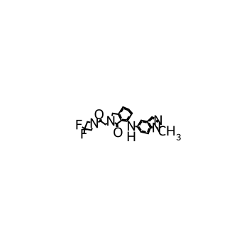 Cn1ncc2cc(Nc3cccc4c3C(=O)N(CC(=O)N3CC(F)(F)C3)C4)ccc21